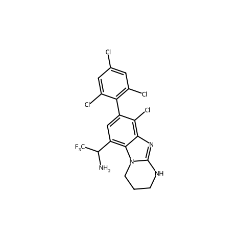 NC(c1cc(-c2c(Cl)cc(Cl)cc2Cl)c(Cl)c2nc3n(c12)CCCN3)C(F)(F)F